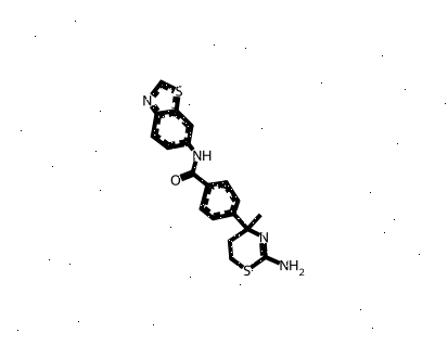 CC1(c2ccc(C(=O)Nc3ccc4ncsc4c3)cc2)CCSC(N)=N1